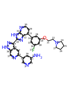 Nc1cncc(-c2cc3c(-c4nc5c(-c6cc(F)cc(OCCN7CCCC7)c6)ccnc5[nH]4)n[nH]c3cn2)c1